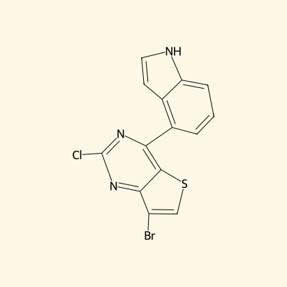 Clc1nc(-c2cccc3[nH]ccc23)c2scc(Br)c2n1